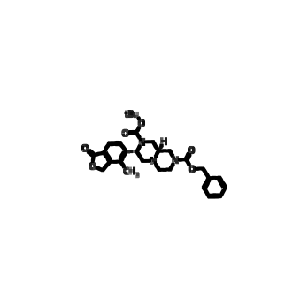 Cc1c([C@H]2CN3CCN(C(=O)OCc4ccccc4)C[C@H]3CN2C(=O)OC(C)(C)C)ccc2c1COC2=O